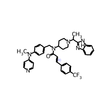 CC(c1nc2ccccc2[nH]1)N1CCC(N(Cc2ccc(N(C)c3ccncc3)cc2)C(=O)/C=C/c2ccc(C(F)(F)F)cc2)CC1